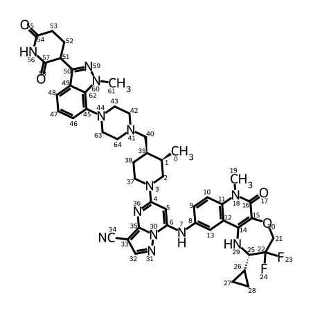 C[C@H]1CN(c2cc(Nc3ccc4c(c3)c3c(c(=O)n4C)OCC(F)(F)[C@H](C4CC4)N3)n3ncc(C#N)c3n2)CC[C@H]1CN1CCN(c2cccc3c(C4CCC(=O)NC4=O)nn(C)c23)CC1